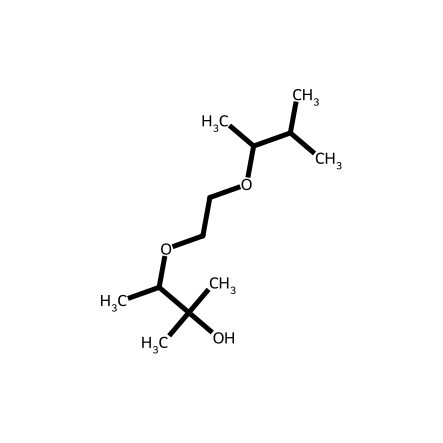 CC(C)C(C)OCCOC(C)C(C)(C)O